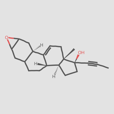 CC#C[C@]1(O)CC[C@H]2[C@@H]3CCC4CC5OC5C[C@H]4C3=CC[C@@]21C